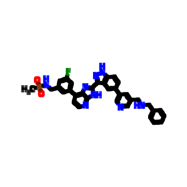 CS(=O)(=O)NCc1cc(F)cc(-c2ccnc3[nH]c(-c4n[nH]c5ccc(-c6cncc(CNCc7ccccc7)c6)cc45)nc23)c1